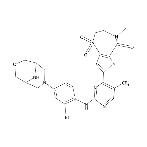 CCc1cc(N2CC3COCC(C2)N3)ccc1Nc1ncc(C(F)(F)F)c(-c2cc3c(s2)C(=O)N(C)CCS3(=O)=O)n1